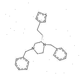 c1ccc(CN2CCN(Cc3ccccc3)[C@@H](CCc3ccsc3)C2)cc1